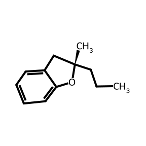 CCC[C@@]1(C)Cc2ccccc2O1